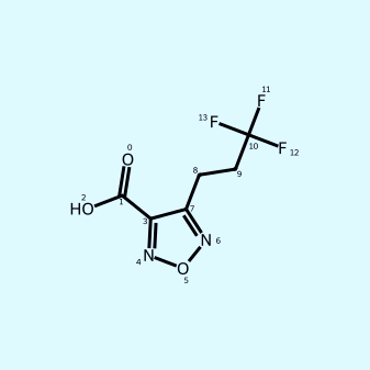 O=C(O)c1nonc1CCC(F)(F)F